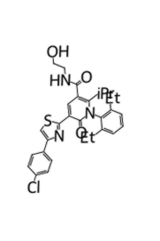 CCc1cccc(CC)c1-n1c(C(C)C)c(C(=O)NCCO)cc(-c2nc(-c3ccc(Cl)cc3)cs2)c1=O